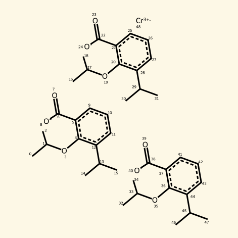 CC(C)Oc1c(C(=O)[O-])cccc1C(C)C.CC(C)Oc1c(C(=O)[O-])cccc1C(C)C.CC(C)Oc1c(C(=O)[O-])cccc1C(C)C.[Cr+3]